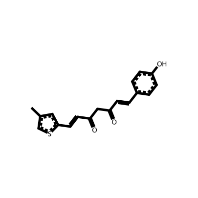 Cc1csc(C=CC(=O)CC(=O)C=Cc2ccc(O)cc2)c1